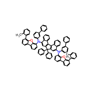 Cc1ccccc1-c1cccc2c1oc1c(N(c3cccc(-c4ccccc4)c3)c3cc4c(c5ccccc35)-c3c(cc(N(c5cccc(-c6ccccc6)c5)c5cccc6c5oc5c(-c7ccccc7C)cccc56)c5ccccc35)C4(c3ccccc3)c3ccccc3)cccc12